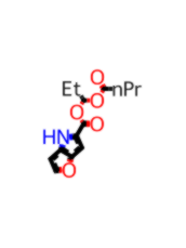 CCCC(=O)OC(CC)OC(=O)c1cc2occc2[nH]1